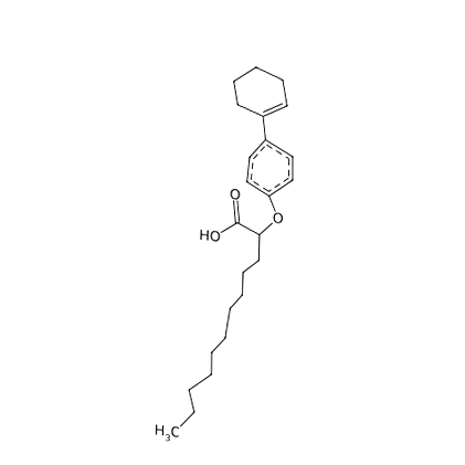 CCCCCCCCCCC(Oc1ccc(C2=CCCCC2)cc1)C(=O)O